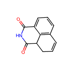 O=C1NC(=O)C2CC=Cc3cccc1c32